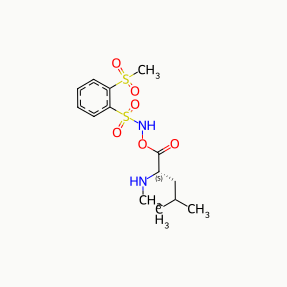 CN[C@@H](CC(C)C)C(=O)ONS(=O)(=O)c1ccccc1S(C)(=O)=O